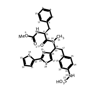 COC(=O)N[C@@H](Cc1ccccc1)C(=O)N(C)[C@@H](Cc1ccc(NS(=O)(=O)O)cc1)c1csc(-c2cccs2)n1